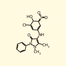 Cc1c(NC2=CC(=S(=O)=O)C(O)C(Cl)=C2)c(=O)n(-c2ccccc2)n1C